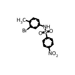 Cc1ccc(NS(=O)(=O)c2ccc([N+](=O)[O-])cc2)cc1Br